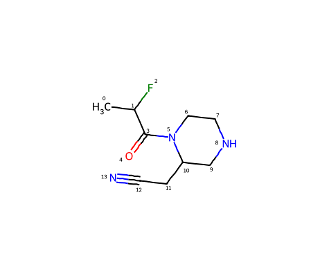 CC(F)C(=O)N1CCNCC1CC#N